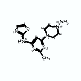 Cc1nc(Nc2nccs2)cc(N2CCN(N)CC2)n1